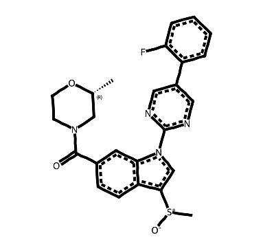 C[C@@H]1CN(C(=O)c2ccc3c([S+](C)[O-])cn(-c4ncc(-c5ccccc5F)cn4)c3c2)CCO1